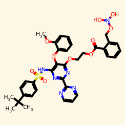 COc1ccccc1Oc1c(NS(=O)(=O)c2ccc(C(C)(C)C)cc2)nc(-c2ncccn2)nc1OCCOC(=O)c1ccccc1CON(O)O